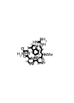 CN[C@@H](CCCNC(=N)N)C(=O)NC(CC(C)C)C(=O)N[C@@H](CC(C)C)C(=O)N[C@@H](Cc1c[nH]c2ccccc12)C(N)=O